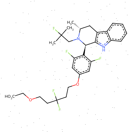 C[C@@H]1Cc2c([nH]c3ccccc23)[C@@H](c2c(F)cc(OCCC(F)(F)CCOCC(=O)O)cc2F)N1CC(C)(C)F